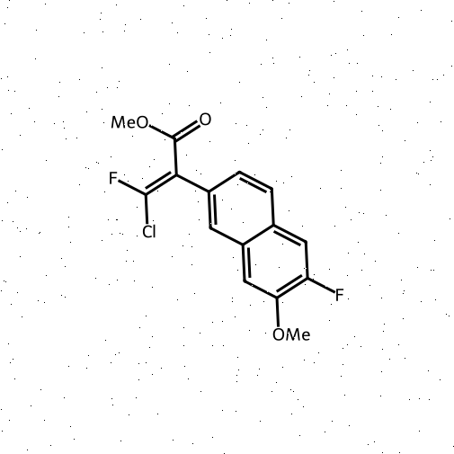 COC(=O)C(=C(F)Cl)c1ccc2cc(F)c(OC)cc2c1